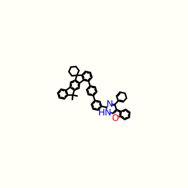 CC1(C)c2ccccc2-c2cc3c(cc21)-c1c(-c2ccc(-c4cccc(C5N=C(C6=CCCC=C6)c6c(oc7ccccc67)N5)c4)cc2)cccc1C31CCCCC1